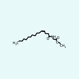 CCCCCCCCCCC/C=C\CCC(=O)NCC(=O)OCC